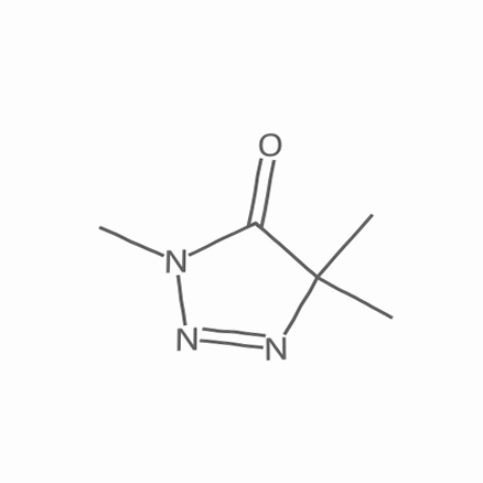 CN1N=NC(C)(C)C1=O